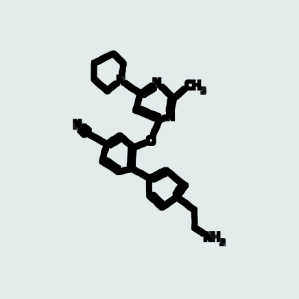 Cc1nc(Oc2cc(C#N)ccc2-c2ccc(CCN)cc2)cc(N2CCCCC2)n1